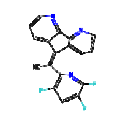 N#CC(=C1c2cccnc2-c2ncccc21)c1nc(F)c(F)cc1F